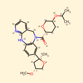 CO[C@H]1CO[C@](C)(c2ccc3c(c2)N(C(=O)[C@H]2CC[C@H](OC(C)C)CO2)Cc2cccnc2N3)C1